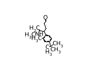 C=C(NC)C(CCC=O)c1ccc(C(C)(C)C)cc1C